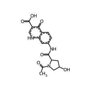 CC(=O)N1CC(O)CC1C(=O)Nc1ccc2c(=O)c(C(=O)O)c[nH]c2c1